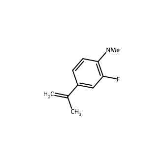 C=C(C)c1ccc(NC)c(F)c1